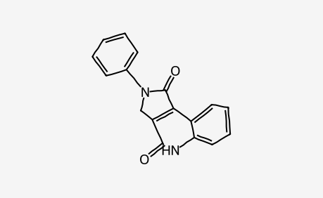 O=C1c2c(c(=O)[nH]c3ccccc23)CN1c1ccccc1